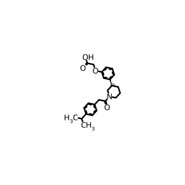 CC(C)c1ccc(CC(=O)N2CCC[C@H](c3cccc(OCC(=O)O)c3)C2)cc1